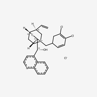 C=C[C@H]1C[N+]2(CC3C=CC(Cl)=C(Cl)C3)CC[C@H]1C[C@H]2[C@H](O)c1ccnc2ccccc12.[Cl-]